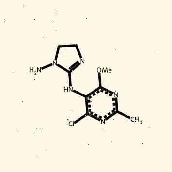 COc1nc(C)nc(Cl)c1NC1=NCCN1N